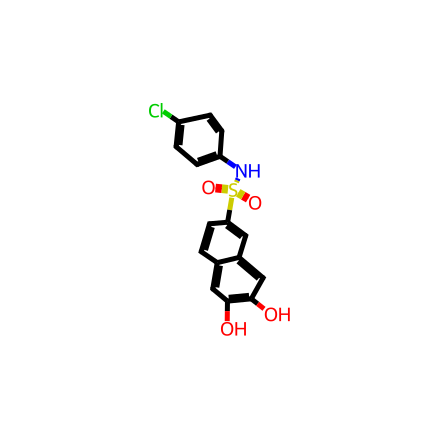 O=S(=O)(Nc1ccc(Cl)cc1)c1ccc2cc(O)c(O)cc2c1